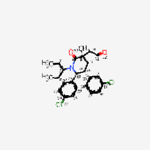 CCC(CC)N1C(=O)[C@@](C)(CC=O)C[C@H](c2cccc(Cl)c2)[C@H]1c1ccc(Cl)cc1